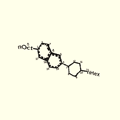 CCCCCCCCc1ccc2cc(C3CCC(CCCCCC)CC3)ccc2c1